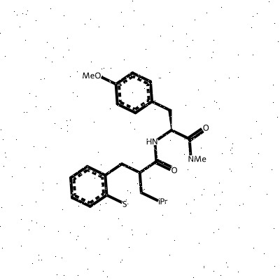 CNC(=O)[C@H](Cc1ccc(OC)cc1)NC(=O)C(Cc1ccccc1[S])CC(C)C